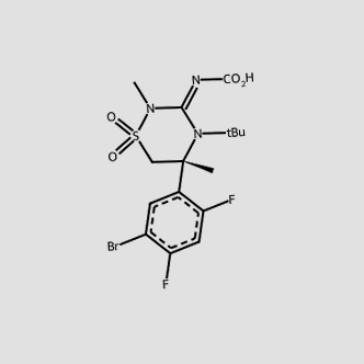 CN1C(=NC(=O)O)N(C(C)(C)C)[C@](C)(c2cc(Br)c(F)cc2F)CS1(=O)=O